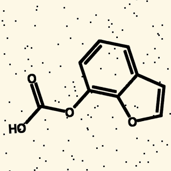 O=C(O)Oc1cccc2ccoc12